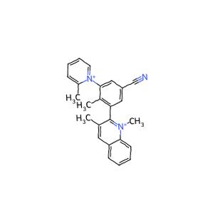 Cc1cc2ccccc2[n+](C)c1-c1cc(C#N)cc(-[n+]2ccccc2C)c1C